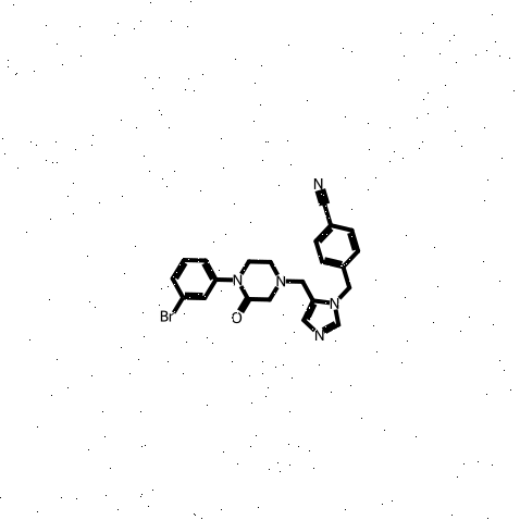 N#Cc1ccc(Cn2cncc2CN2CCN(c3cccc(Br)c3)C(=O)C2)cc1